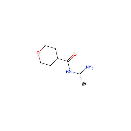 CCC(C)[C@@H](N)NC(=O)C1CCOCC1